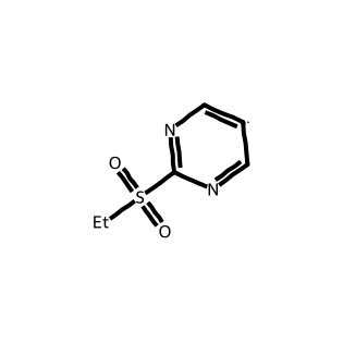 CCS(=O)(=O)c1nc[c]cn1